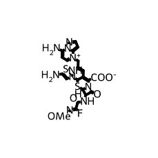 CON=C(F)C(=O)NC1C(=O)N2C(C(=O)[O-])=C(C=CC[n+]3ccc(N)n4nccc43)C(N3C=C(N)SN3)S[C@@H]12